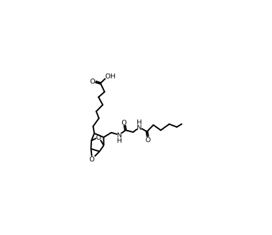 CCCCCC(=O)NCC(=O)NCC1C(CCCCCCC(=O)O)C2OC1C1OC21